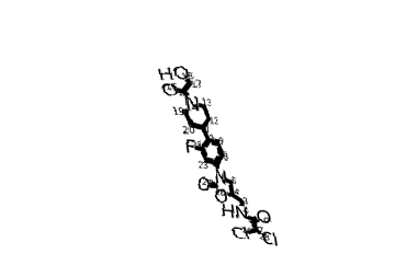 O=C(NCC1CN(c2ccc(C3CCN(C(=O)CO)CC3)c(F)c2)C(=O)O1)C(Cl)Cl